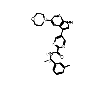 Cc1cccc([C@@H](C)NC(=O)c2ncc(-c3c[nH]c4ncc(N5CCOCC5)cc34)cn2)c1